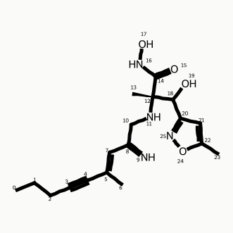 CCCC#C/C(C)=C/C(=N)CN[C@](C)(C(=O)NO)C(O)c1cc(C)on1